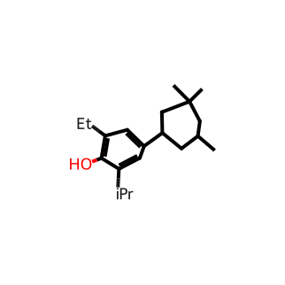 CCc1cc(C2CC(C)CC(C)(C)C2)cc(C(C)C)c1O